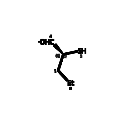 CCC[C@H](S)[C]=O